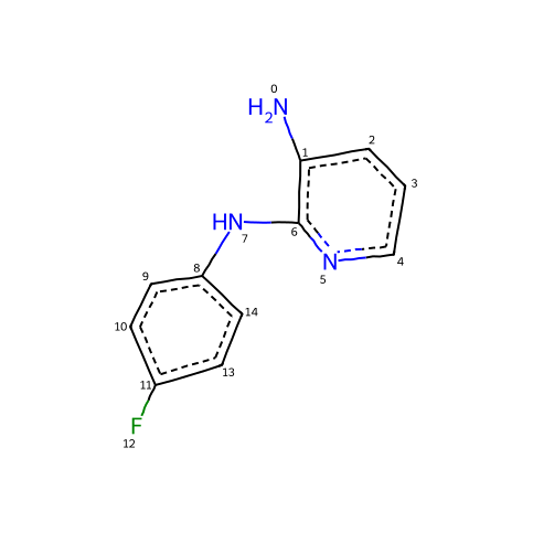 Nc1cccnc1Nc1ccc(F)cc1